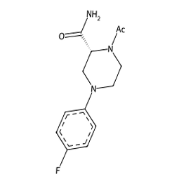 CC(=O)N1CCN(c2ccc(F)cc2)C[C@@H]1C(N)=O